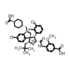 COc1cc(C(=O)O)ccc1NC(=O)[C@@H]1N[C@@H](CC(C)(C)C)[C@@]2(CN(C[C@H]3CC[C@H](C(=O)O)CC3)c3cc(Cl)ccc32)[C@H]1c1cccc(Cl)c1F